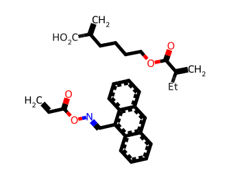 C=C(CCCCOC(=O)C(=C)CC)C(=O)O.C=CC(=O)ON=Cc1c2ccccc2cc2ccccc12